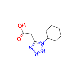 O=C(O)Cc1nnnn1C1CCCCC1